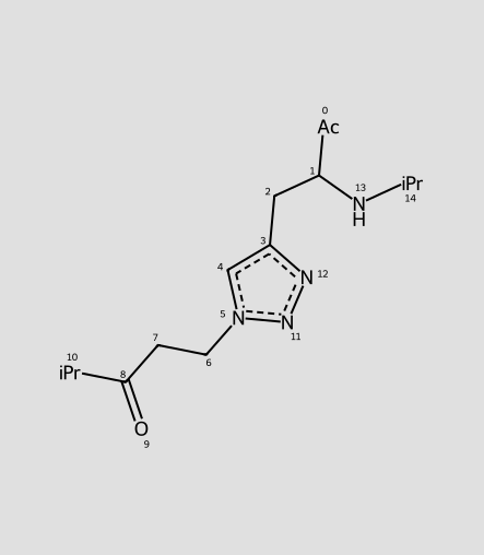 CC(=O)C(Cc1cn(CCC(=O)C(C)C)nn1)NC(C)C